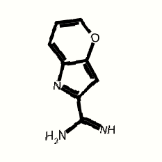 N=C(N)c1cc2occcc-2n1